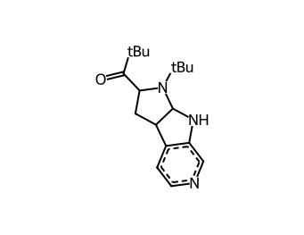 CC(C)(C)C(=O)C1CC2c3ccncc3NC2N1C(C)(C)C